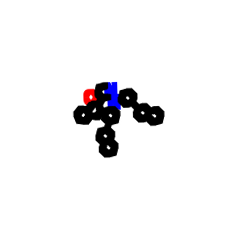 c1cc(-c2ccc3ccccc3c2)cc(N(c2ccc(-c3ccc4ccccc4c3)cc2)c2nccc3oc4c5ccccc5ccc4c23)c1